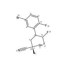 C[C@@](S)(C#N)C[C](c1cc(Br)ccc1F)C(F)F